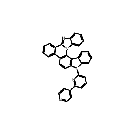 c1cc(-c2ccncc2)nc(-n2c3ccccc3c3c2ccc2c4ccccc4c4nc5ccccc5n4c23)c1